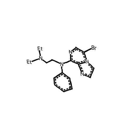 CCN(CC)CCN(c1ccccc1)c1ncc(Br)n2ccnc12